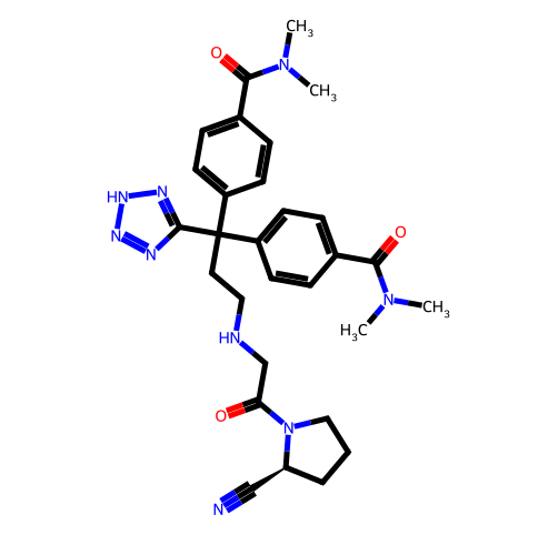 CN(C)C(=O)c1ccc(C(CCNCC(=O)N2CCC[C@H]2C#N)(c2ccc(C(=O)N(C)C)cc2)c2nn[nH]n2)cc1